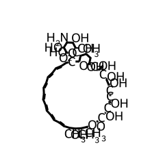 C[C@@H]1[C@H](O)[C@@H](C)/C=C/C=C/C=C/C=C/C=C/C=C/C=C/[C@H](O[C@@H]2O[C@H](C)[C@@H](O)[C@H](N)[C@@H]2O)CC2O[C@](O)(CC(O)CC(O)[C@H](O)CCC(O)CC(O)CC(=O)O[C@H]1C)CC(O)[C@H]2C(=O)O